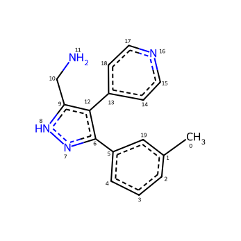 Cc1cccc(-c2n[nH]c(CN)c2-c2ccncc2)c1